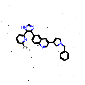 Cc1cccc(-c2[nH]cnc2-c2ccc3ncc(C4=CCN(Cc5ccccc5)C4)cc3c2)n1